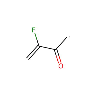 [CH]C(=O)C(=C)F